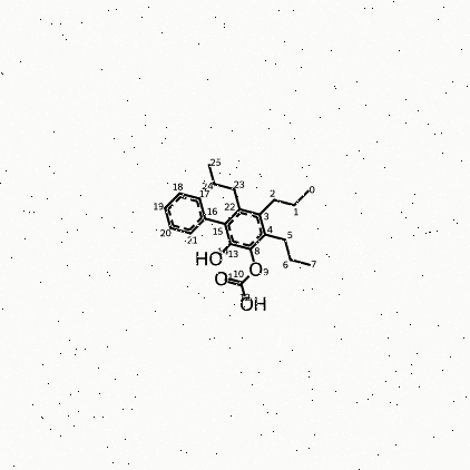 CCCc1c(CCC)c(OC(=O)O)c(O)c(-c2ccccc2)c1CCC